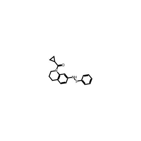 O=C(C1CC1)N1CCCc2ccc(NSc3ccccc3)cc21